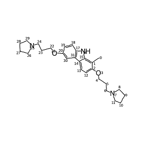 Cc1c(OCCCN2CCCC2)ccc2c1[nH]c1ccc(OCCCN3CCCC3)cc12